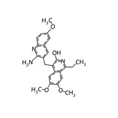 CCc1nc(O)c(Cc2cc3cc(OC)ccc3nc2N)c2cc(OC)c(OC)cc12